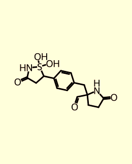 O=CC1(Cc2ccc(C3CC(=O)NS3(O)O)cc2)CCC(=O)N1